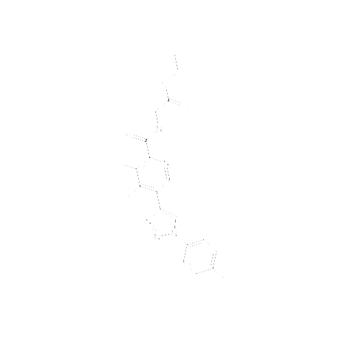 CCOC(=O)CNC(=O)c1ncc(-c2cn(-c3ccc(F)cc3)nn2)c(C)c1O